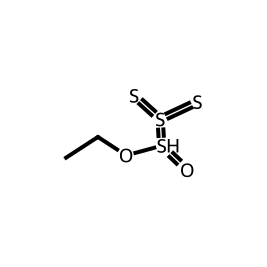 CCO[SH](=O)=S(=S)=S